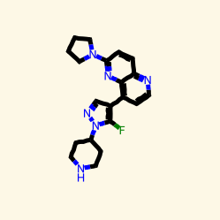 Fc1c(-c2ccnc3ccc(N4CCCC4)nc23)cnn1C1CCNCC1